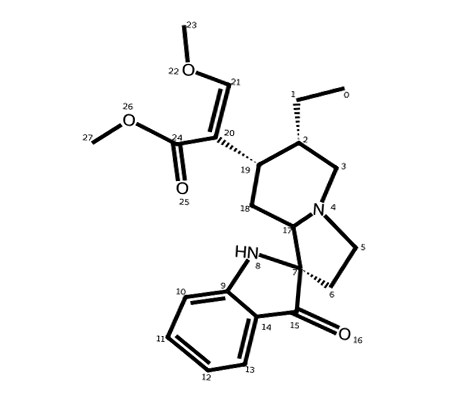 CC[C@@H]1CN2CC[C@]3(Nc4ccccc4C3=O)C2C[C@@H]1C(=COC)C(=O)OC